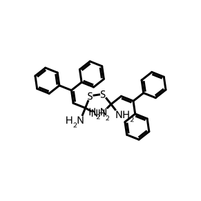 NC(N)(C=C(c1ccccc1)c1ccccc1)SSC(N)(N)C=C(c1ccccc1)c1ccccc1